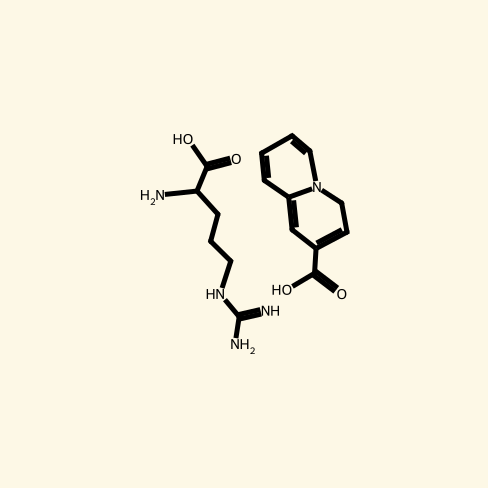 N=C(N)NCCCC(N)C(=O)O.O=C(O)C1=CCN2C=CC=CC2=C1